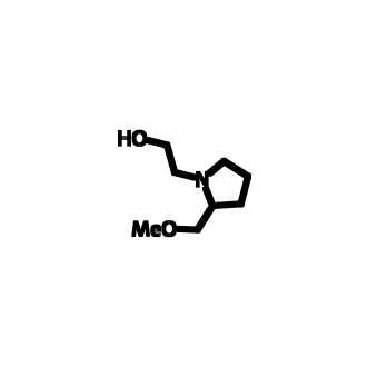 COCC1CCCN1CCO